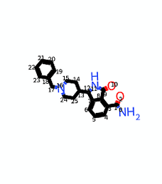 NC(=O)c1cccc2c1C(=O)NC2C1CCN(Cc2ccccc2)CC1